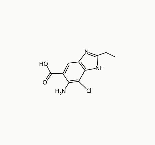 CCc1nc2cc(C(=O)O)c(N)c(Cl)c2[nH]1